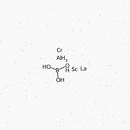 OB(O)O.[AlH3].[Cr].[La].[Sc]